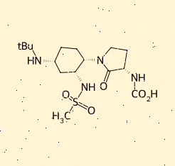 CC(C)(C)N[C@@H]1CC[C@H](N2CC[C@H](NC(=O)O)C2=O)[C@H](NS(C)(=O)=O)C1